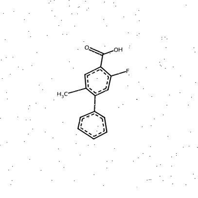 Cc1cc(C(=O)O)c(F)cc1-c1ccccc1